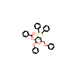 O=C(O[C@H]1[C@@H](Oc2ccccc2)O[C@H](COc2ccccc2)[C@H](SCc2ccccc2)[C@H]1SCc1ccccc1)c1ccccc1